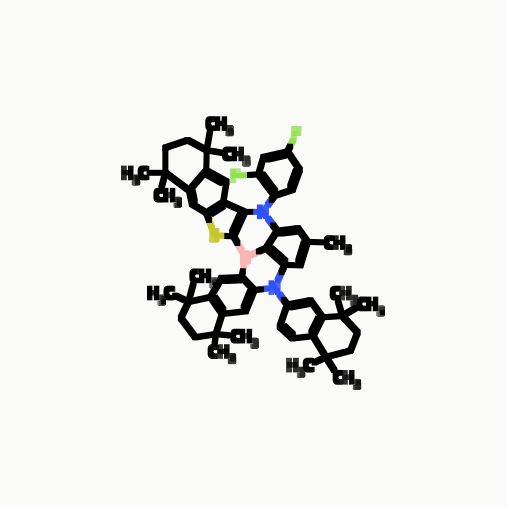 Cc1cc2c3c(c1)N(c1ccc(F)cc1F)c1c(sc4cc5c(cc14)C(C)(C)CCC5(C)C)B3c1cc3c(cc1N2c1ccc2c(c1)C(C)(C)CCC2(C)C)C(C)(C)CCC3(C)C